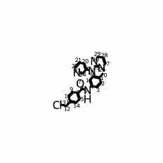 Cc1ccc(NC(=O)c2ccc(CCl)cc2)cc1N(c1cccnc1)c1ncccn1